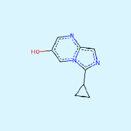 Oc1cnc2cnc(C3CC3)n2c1